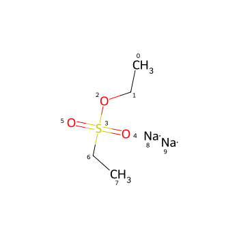 CCOS(=O)(=O)CC.[Na].[Na]